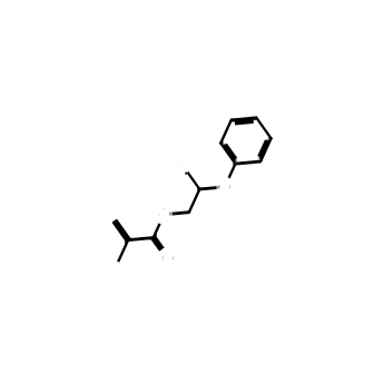 C=C(C)C(=O)OCC(Cl)Oc1ccccc1